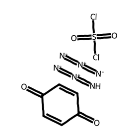 O=C1C=CC(=O)C=C1.O=S(=O)(Cl)Cl.[N-]=[N+]=N.[N-]=[N+]=[N-]